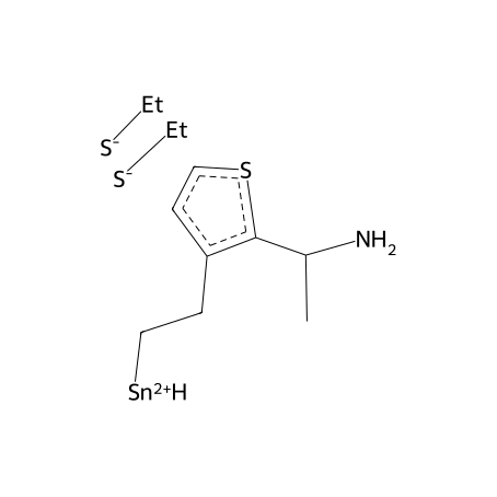 CC(N)c1sccc1C[CH2][SnH+2].CC[S-].CC[S-]